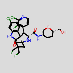 O=C(N[C@@H]1CC[C@@H](CO)OC1)[C@@H]1NC2(CC(CF)(CF)C2)[C@@]2(C(=O)Nc3cc(Cl)ccc32)[C@H]1c1ccnc(Cl)c1F